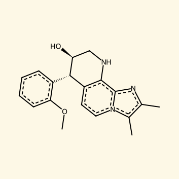 COc1ccccc1[C@H]1c2ccn3c(C)c(C)nc3c2NC[C@@H]1O